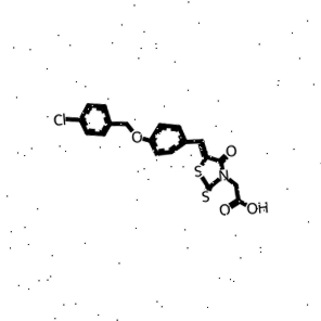 O=C(O)CN1C(=O)C(=Cc2ccc(OCc3ccc(Cl)cc3)cc2)SC1=S